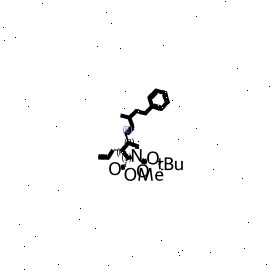 C=CC[C@H]1[C@@H](C(=O)OC)N(C(=O)OC(C)(C)C)C[C@@H]1/C=C/C(C)CCc1ccccc1